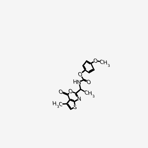 COc1ccc(OC(=O)NC(C)c2nc3scc(C)c3c(=O)o2)cc1